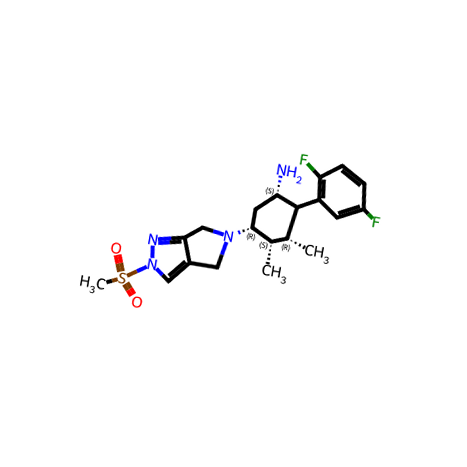 C[C@@H]1[C@H](N2Cc3cn(S(C)(=O)=O)nc3C2)C[C@H](N)C(c2cc(F)ccc2F)[C@@H]1C